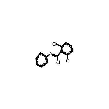 ClC(=Nc1ccccc1)c1c(Cl)cccc1Cl